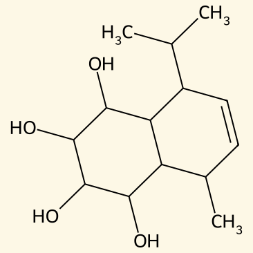 CC(C)C1C=CC(C)C2C(O)C(O)C(O)C(O)C12